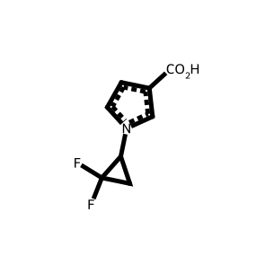 O=C(O)c1ccn(C2CC2(F)F)c1